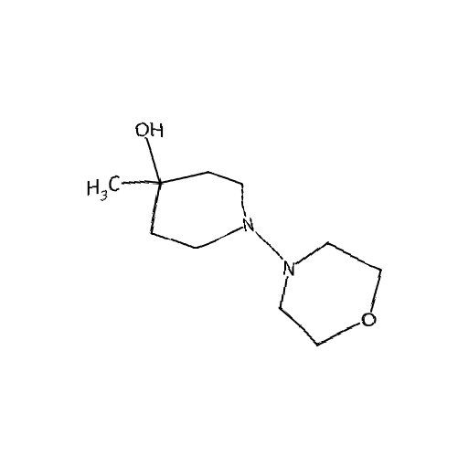 CC1(O)CCN(N2CCOCC2)CC1